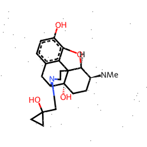 CN[C@H]1CC[C@@]2(O)C3Cc4ccc(O)c5c4C2(CCN3CC2(O)CC2)[C@H]1O5